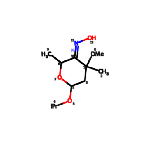 COC1(C)CC(OC(C)C)OC(C)/C1=N/O